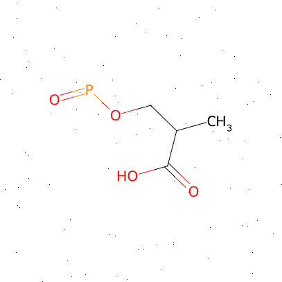 CC(COP=O)C(=O)O